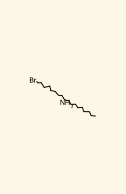 CCCCCCCCCCCCCCCCCCBr.N